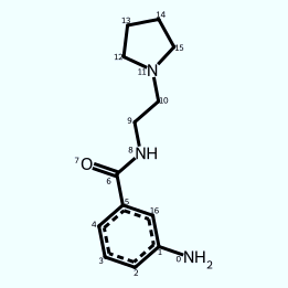 Nc1cccc(C(=O)NCCN2CCCC2)c1